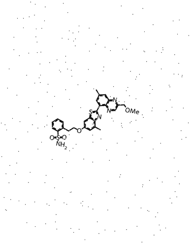 COCc1cnc2c(-c3nc4c(C)cc(OCCc5ccccc5S(N)(=O)=O)cc4s3)cc(C)cc2n1